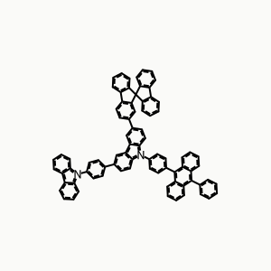 c1ccc(-c2c3ccccc3c(-c3ccc(-n4c5ccc(-c6ccc(-n7c8ccccc8c8ccccc87)cc6)cc5c5cc(-c6ccc7c(c6)C6(c8ccccc8-c8ccccc86)c6ccccc6-7)ccc54)cc3)c3ccccc23)cc1